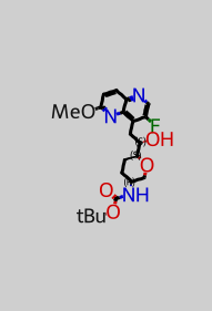 COc1ccc2ncc(F)c(C[C@H](O)[C@@H]3CC[C@@H](NC(=O)OC(C)(C)C)CO3)c2n1